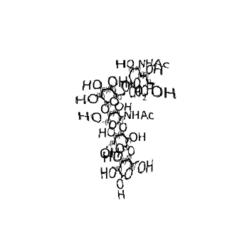 CC(=O)N[C@H]1[C@H](O[C@H]2[C@@H](O)[C@@H](CO)O[C@@H](O[C@H]3[C@H](O)[C@@H](O)C(O)O[C@@H]3CO)[C@@H]2O)O[C@H](CO)[C@@H](O[C@@H]2O[C@H](CO[C@]3(C(=O)O)C[C@H](O)[C@@H](NC(C)=O)[C@H]([C@H](O)[C@H](O)CO)O3)[C@H](O)[C@H](O)[C@H]2O)[C@@H]1O